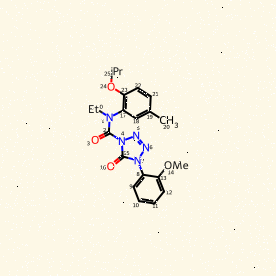 CCN(C(=O)n1nnn(-c2ccccc2OC)c1=O)c1cc(C)ccc1OC(C)C